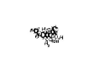 Cc1c(-c2c(C)c3c(c(C)c2C(OC(C)(C)C)C(=O)O)CCN(C(=O)c2cccc(F)c2)CC3)cc(F)c2c1CCCO2